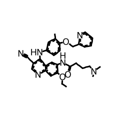 CCOc1cc2ncc(C#N)c(Nc3ccc(OCc4ccccn4)c(C)c3)c2cc1NC(=O)CCCN(C)C